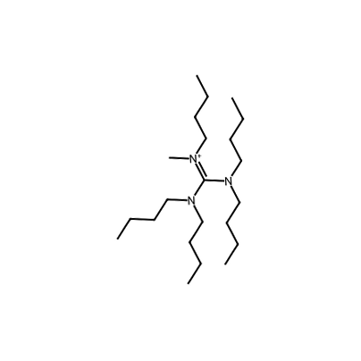 CCCCN(CCCC)C(N(CCCC)CCCC)=[N+](C)CCCC